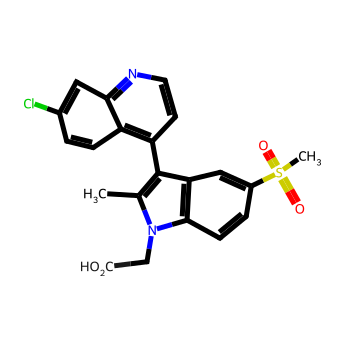 Cc1c(-c2ccnc3cc(Cl)ccc23)c2cc(S(C)(=O)=O)ccc2n1CC(=O)O